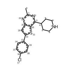 Cc1nc(C2CCNCC2)c2sc(-c3ccc(Cl)cc3)cc2n1